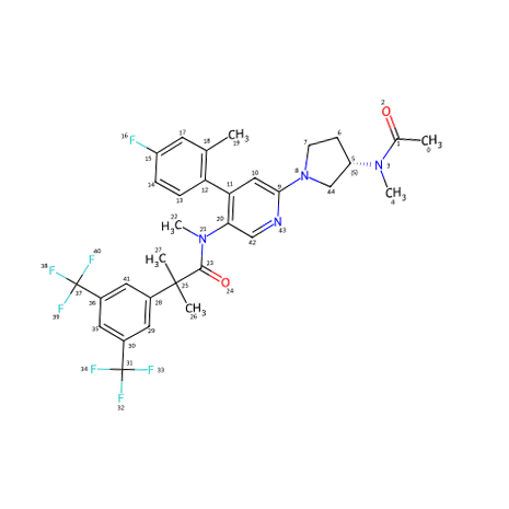 CC(=O)N(C)[C@H]1CCN(c2cc(-c3ccc(F)cc3C)c(N(C)C(=O)C(C)(C)c3cc(C(F)(F)F)cc(C(F)(F)F)c3)cn2)C1